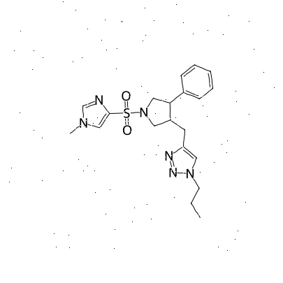 CCCn1cc(CC2CN(S(=O)(=O)c3cn(C)cn3)CC2c2ccccc2)nn1